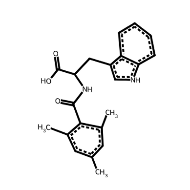 Cc1cc(C)c(C(=O)NC(Cc2c[nH]c3ccccc23)C(=O)O)c(C)c1